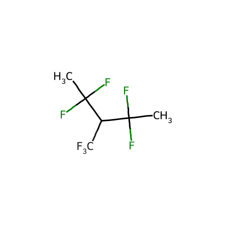 CC(F)(F)C(C(C)(F)F)C(F)(F)F